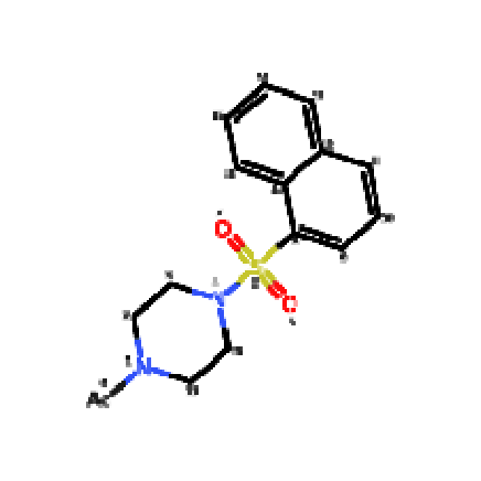 CC(=O)N1CCN(S(=O)(=O)c2cccc3ccccc23)CC1